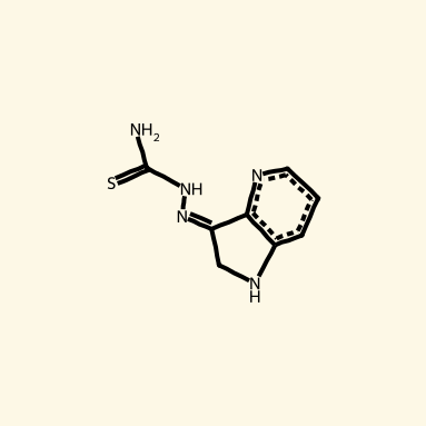 NC(=S)N/N=C1/CNc2cccnc21